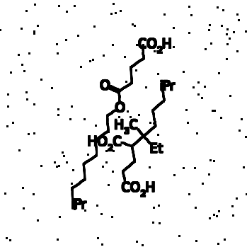 CC(C)CCCCCCCOC(=O)CCCC(=O)O.CCC(C)(CCCC(C)C)C(CCC(=O)O)C(=O)O